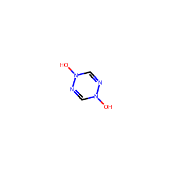 ON1C=NN(O)C=N1